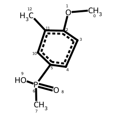 COc1ccc(P(C)(=O)O)cc1C